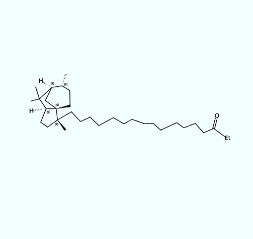 CCC(=O)CCCCCCCCCCCCCC[C@]1(C)CC[C@H]2C(C)(C)[C@@H]3C[C@@]21CC[C@H]3C